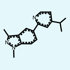 Cc1nn(C)c2ccc(-c3cc(C(C)C)ccn3)cc12